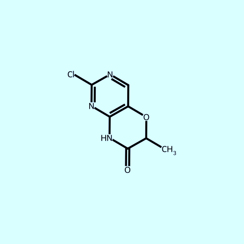 CC1Oc2cnc(Cl)nc2NC1=O